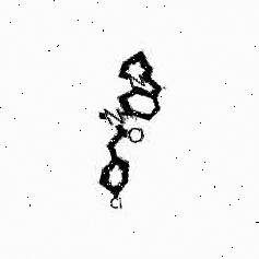 CN(C(=O)Cc1ccc(Cl)cc1)[C@@H]1CCc2[c]c3ccccn3c2C1